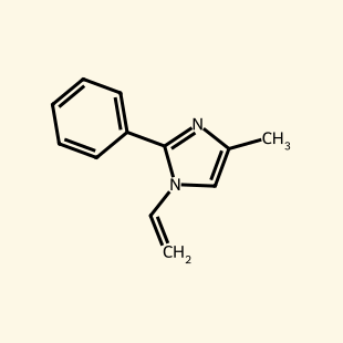 C=Cn1cc(C)nc1-c1ccccc1